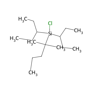 CCCC(C)(C)[Si](Cl)(C(CC)CC)C(CC)CC